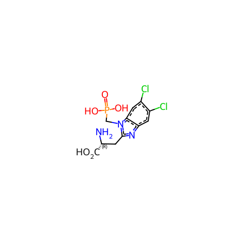 N[C@H](Cc1nc2cc(Cl)c(Cl)cc2n1CP(=O)(O)O)C(=O)O